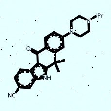 CC(C)N1CCN(c2ccc3c(c2)C(C)(C)c2[nH]c4cc(C#N)ccc4c2C3=O)CC1